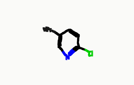 CCCc1ccc(Cl)nc1